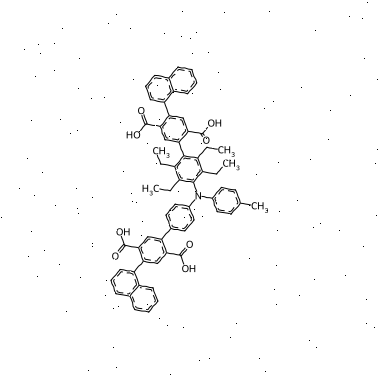 CCc1c(CC)c(N(c2ccc(C)cc2)c2ccc(-c3cc(C(=O)O)c(-c4cccc5ccccc45)cc3C(=O)O)cc2)c(CC)c(CC)c1-c1cc(C(=O)O)c(-c2cccc3ccccc23)cc1C(=O)O